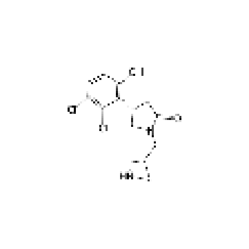 O=C1C[C@@H](c2c(O)ccc(Cl)c2Cl)CN1CC1CNC1